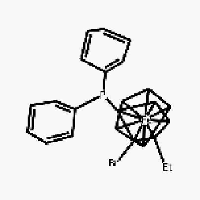 CC[C]12[CH]3[CH]4[C]5(P(c6ccccc6)c6ccccc6)[C]1(Br)[Fe]34251678[CH]2[CH]1[CH]6[CH]7[CH]28